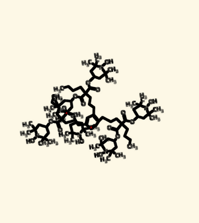 CCCCC(CCCc1cc(CCCC(CCCC)(C(=O)OC2CC(C)(C)N(O)C(C)(C)C2)C(=O)OC2CC(C)(C)N(O)C(C)(C)C2)ccc1CCCC(CCCC)(C(=O)OC1CC(C)(C)N(O)C(C)(C)C1)C(=O)OC1CC(C)(C)N(O)C(C)(C)C1)(C(=O)OC1CC(C)(C)N(C)C(C)(C)C1)C(=O)OC1CC(C)(C)N(O)C(C)(C)C1